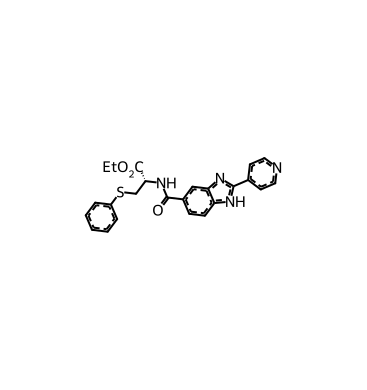 CCOC(=O)[C@@H](CSc1ccccc1)NC(=O)c1ccc2[nH]c(-c3ccncc3)nc2c1